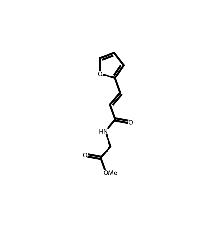 COC(=O)CNC(=O)C=Cc1ccco1